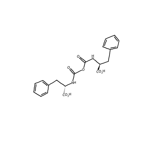 O=C(N[C@@H](Cc1ccccc1)C(=O)O)OC(=O)N[C@@H](Cc1ccccc1)C(=O)O